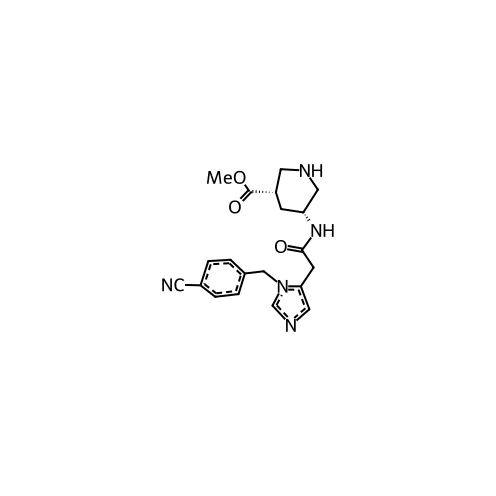 COC(=O)[C@@H]1CNC[C@H](NC(=O)Cc2cncn2Cc2ccc(C#N)cc2)C1